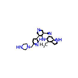 Cc1c(Nc2c(C#N)cncc2-c2ccc(CN3CCNCC3)nc2)ccc2[nH]ccc12